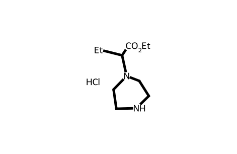 CCOC(=O)C(CC)N1CCNCC1.Cl